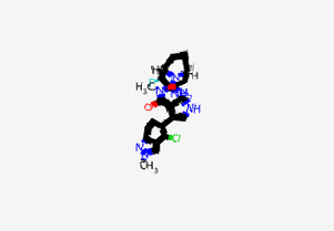 Cn1cc2c(Cl)c(-c3c[nH]c4nc(N5[C@H]6CC[C@@H]5[C@H](F)[C@H](N)C6)n(C)c(=O)c34)ccc2n1